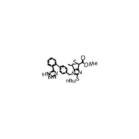 CCCCSc1nc2c(n1Cc1ccc(-c3ccccc3-c3nnn[nH]3)cc1)C(C)SC2C(=O)OC